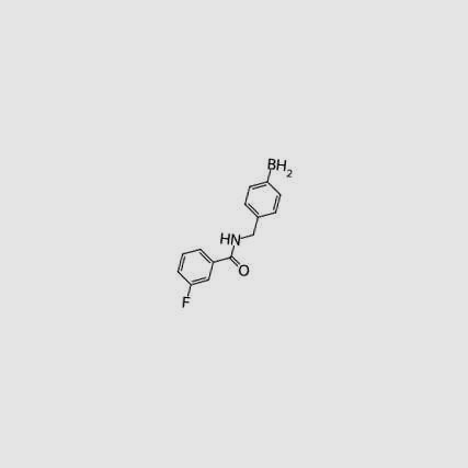 Bc1ccc(CNC(=O)c2cccc(F)c2)cc1